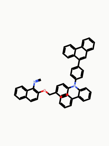 C=Nc1c(OCc2ccc(N(c3ccc(-c4cc5ccccc5c5ccccc45)cc3)c3ccccc3-c3ccccc3)cc2)ccc2ccccc12